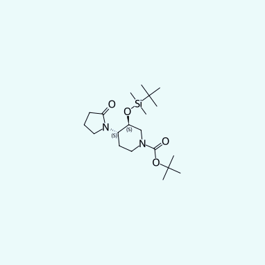 CC(C)(C)OC(=O)N1CC[C@H](N2CCCC2=O)[C@@H](O[Si](C)(C)C(C)(C)C)C1